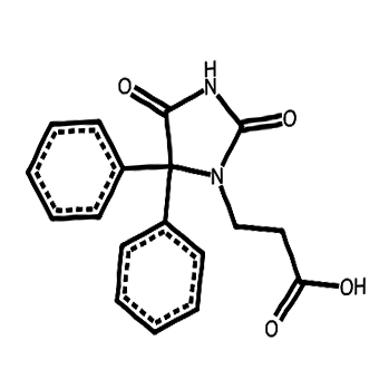 O=C(O)CCN1C(=O)NC(=O)C1(c1ccccc1)c1ccccc1